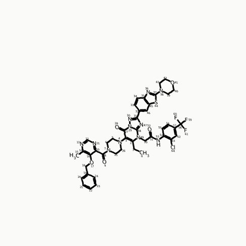 CCc1c(N2CCN(C(=O)c3ncnc(C)c3OCc3ccccc3)CC2)c(=O)n2nc(-c3ccc4nc(N5CCOCC5)sc4c3)nc2n1CC(=O)Nc1ccc(C(F)(F)F)cc1Cl